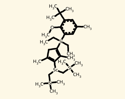 CC[Si](CC)(C1=C(C)[C]([Sc]([CH2][Si](C)(C)C)[CH2][Si](C)(C)C)=C(C)C1)c1cc(C)cc(C(C)(C)C)c1OC